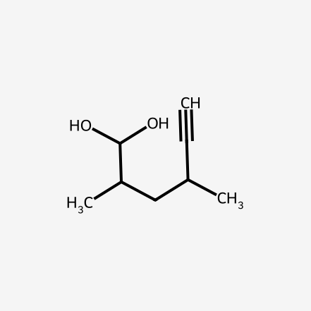 C#CC(C)CC(C)C(O)O